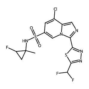 CC1(NS(=O)(=O)c2cc(Cl)c3cnc(-c4nnc(C(F)F)s4)n3c2)CC1F